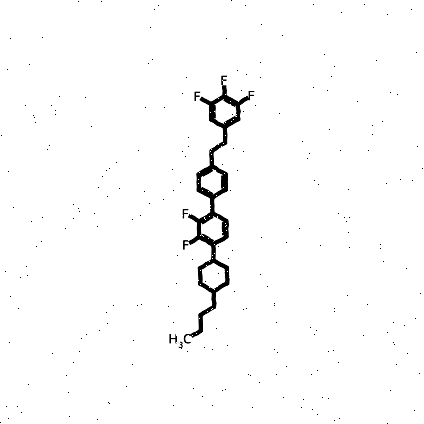 CCCCC1CCC(c2ccc(-c3ccc(CCc4cc(F)c(F)c(F)c4)cc3)c(F)c2F)CC1